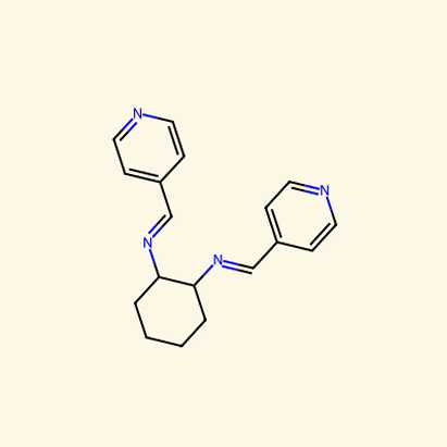 C(=NC1CCCCC1N=Cc1ccncc1)c1ccncc1